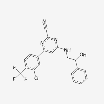 N#Cc1nc(NCC(O)c2ccccc2)cc(-c2ccc(C(F)(F)F)c(Cl)c2)n1